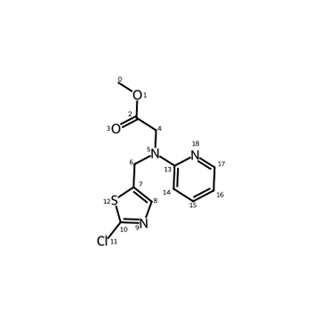 COC(=O)CN(Cc1cnc(Cl)s1)c1ccccn1